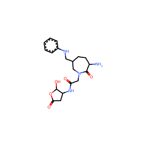 NC1CCC(CNc2ccccc2)CN(CC(=O)NC2CC(=O)OC2O)C1=O